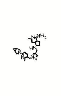 Cc1cc2c(c(N)n1)CC[C@H]2NCc1cnn(Cc2ccc(N3CC4CC4C3)nc2C)c1